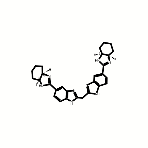 c1cc2[nH]c(Cc3nc4cc(C5=N[C@@H]6CCCC[C@@H]6N5)ccc4[nH]3)nc2cc1C1=N[C@@H]2CCCC[C@@H]2N1